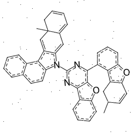 CC1C=Cc2oc3cccc(-c4nc(-n5c6c(c7c8ccccc8ccc75)=CC5(C)CC=CC=C5C=6)nc5c4oc4ccccc45)c3c2C1